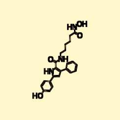 O=C(CCCCCNC(=O)c1[nH]c(-c2ccc(O)cc2)cc1-c1ccccc1)NO